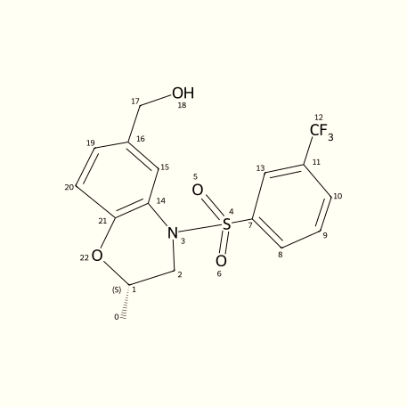 C[C@H]1CN(S(=O)(=O)c2cccc(C(F)(F)F)c2)c2cc(CO)ccc2O1